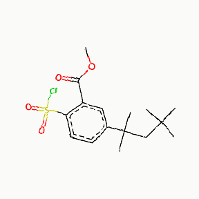 COC(=O)c1cc(C(C)(C)CC(C)(C)C)ccc1S(=O)(=O)Cl